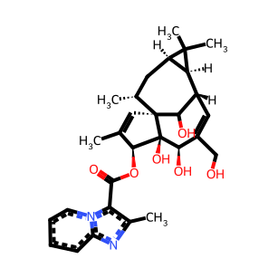 CC1=C[C@]23C(O)[C@@H](C=C(CO)[C@@H](O)[C@]2(O)[C@H]1OC(=O)c1c(C)nc2ccccn12)[C@H]1[C@@H](C[C@H]3C)C1(C)C